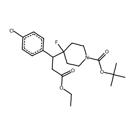 CCOC(=O)CC(c1ccc(Cl)cc1)C1(F)CCN(C(=O)OC(C)(C)C)CC1